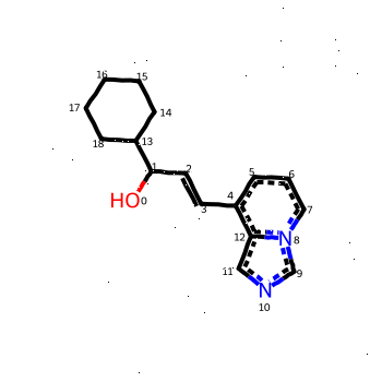 OC(/C=C/c1cccn2cncc12)C1CCCCC1